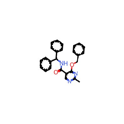 Cc1ncc(C(=O)NC(c2ccccc2)c2ccccc2)c(OCc2ccccc2)n1